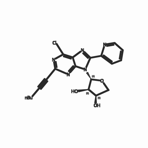 CCCCC#Cc1nc(Cl)c2nc(-c3ccccn3)n([C@@H]3OC[C@@H](O)[C@H]3O)c2n1